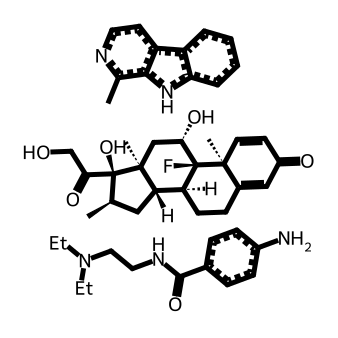 CCN(CC)CCNC(=O)c1ccc(N)cc1.C[C@@H]1C[C@H]2[C@@H]3CCC4=CC(=O)C=C[C@]4(C)[C@@]3(F)[C@@H](O)C[C@]2(C)[C@@]1(O)C(=O)CO.Cc1nccc2c1[nH]c1ccccc12